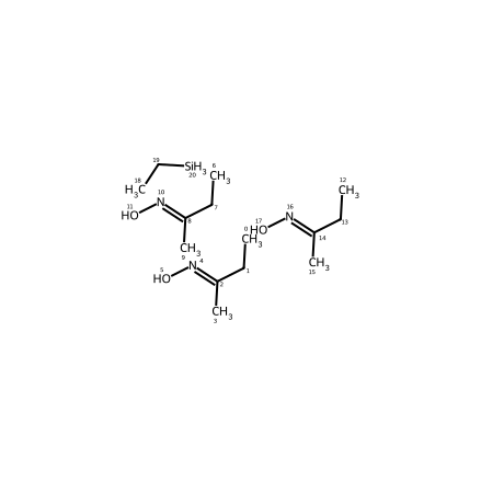 CCC(C)=NO.CCC(C)=NO.CCC(C)=NO.CC[SiH3]